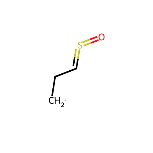 [CH2]CC=S=O